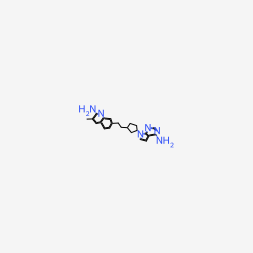 Cc1cc2ccc(CCC3CCC(n4ccc5c(N)ncnc54)C3)cc2nc1N